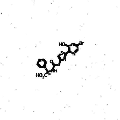 O=C(Cc1csc(-c2ncc(Br)cc2O)n1)N[C@@H](C(=O)O)c1ccccc1